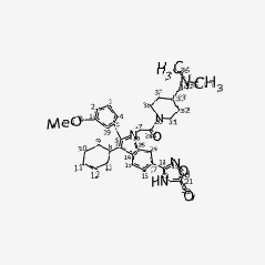 COc1cccc(-c2c(C3CCCCC3)c3ccc(-c4noc(=O)[nH]4)cc3n2CC(=O)N2CCC(N(C)C)CC2)c1